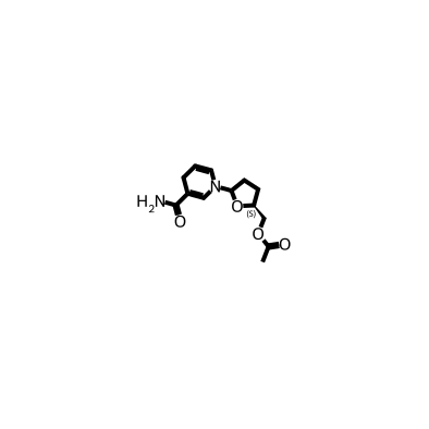 CC(=O)OC[C@@H]1CCC(N2C=CCC(C(N)=O)=C2)O1